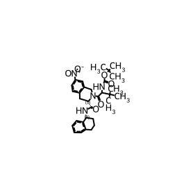 CC(C)(C)OC(=O)NC(C(=O)N1Cc2cc([N+](=O)[O-])ccc2C[C@H]1C(=O)N[C@@H]1CCCc2ccccc21)C(C)(C)C